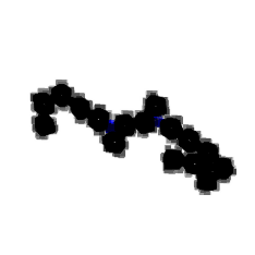 c1ccc(-c2ccc(C3(c4cccc(-c5ccc(-c6ccc(-n7c8ccccc8c8cc(-c9ccc%10c(c9)c9ccccc9n%10-c9ccc(-c%10ccc(-c%11cccc(-c%12cccc(-c%13ccccc%13)c%12)c%11)cc%10)cc9)ccc87)cc6)cc5)c4)c4ccccc4-c4ccccc43)cc2)cc1